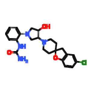 NC(=O)Nc1ccccc1N1CC(O)C(N2CCC3(CC2)Cc2cc(Cl)ccc2O3)C1